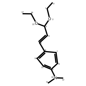 CCOC(/C=C/c1ccc(N(C)C)cc1)OCC